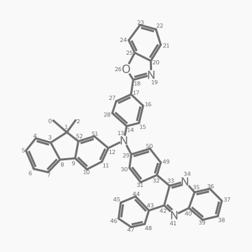 CC1(C)c2ccccc2-c2ccc(N(c3ccc(-c4nc5ccccc5o4)cc3)c3ccc(-c4nc5ccccc5nc4-c4ccccc4)cc3)cc21